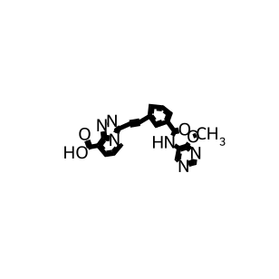 COc1ncncc1NC(=O)c1cccc(C#Cc2nnc3c(C(=O)O)cccn23)c1